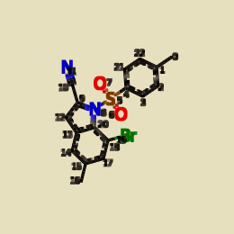 Cc1ccc(S(=O)(=O)n2c(C#N)cc3cc(C)cc(Br)c32)cc1